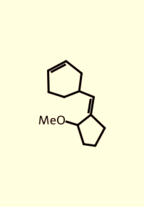 COC1CCCC1=CC1CC=CCC1